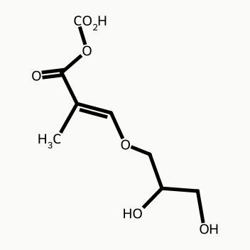 CC(=COCC(O)CO)C(=O)OC(=O)O